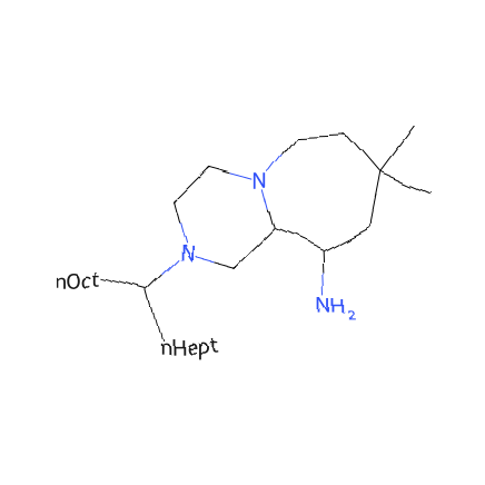 CCCCCCCCC(CCCCCCC)N1CCN2CCC(C)(C)CC(N)C2C1